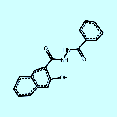 O=C(NNC(=O)c1cc2ccccc2cc1O)c1ccccc1